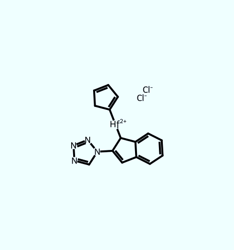 C1=CC[C]([Hf+2][CH]2C(n3cnnn3)=Cc3ccccc32)=C1.[Cl-].[Cl-]